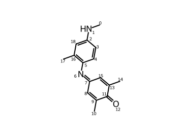 CNc1ccc(N=C2C=C(C)C(=O)C(C)=C2)c(C)c1